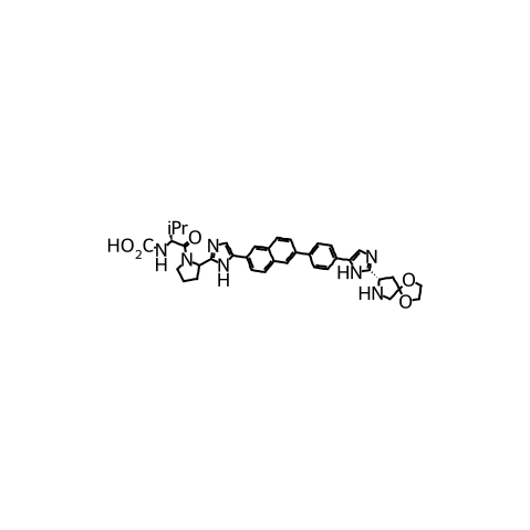 CC(C)[C@H](NC(=O)O)C(=O)N1CCCC1c1ncc(-c2ccc3cc(-c4ccc(-c5cnc([C@@H]6CC7(CN6)OCCO7)[nH]5)cc4)ccc3c2)[nH]1